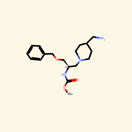 CC(C)(C)OC(=O)N[C@@H](COCc1ccccc1)CN1CCC(CN)CC1